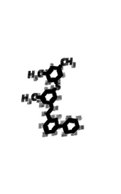 Cc1cc(C)cc(Sc2cc(C)cc(CCc3cccc(-c4ccccc4)c3)c2)c1